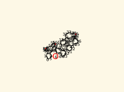 c1ccc2c(c1)Oc1c(cc(-c3ccc4c(c3)C3(c5ccccc5-c5ccccc53)c3c-4ccc4ccccc34)c3ccccc13)C21c2ccccc2-c2ccccc21